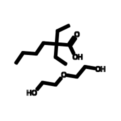 CCCCC(CC)(CC)C(=O)O.OCCOCCO